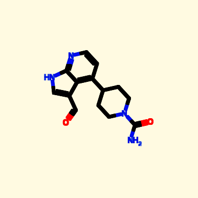 NC(=O)N1CCC(c2ccnc3[nH]cc(C=O)c23)CC1